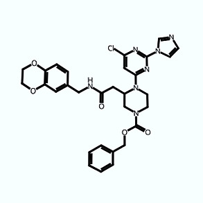 O=C(CC1CN(C(=O)OCc2ccccc2)CCN1c1cc(Cl)nc(-n2ccnc2)n1)NCc1ccc2c(c1)OCCO2